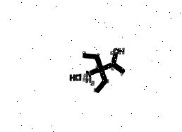 CCC(N)(CC)C(C)O.Cl